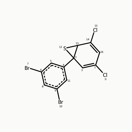 ClC1=CC2(c3cc(Br)cc(Br)c3)SC2C(Cl)=C1